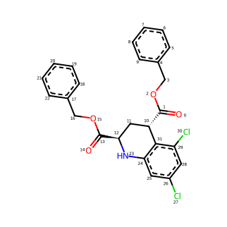 O=C(OCc1ccccc1)[C@H]1C[C@H](C(=O)OCc2ccccc2)Nc2cc(Cl)cc(Cl)c21